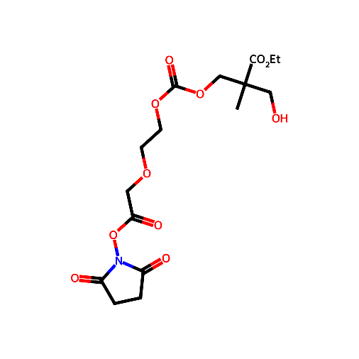 CCOC(=O)C(C)(CO)COC(=O)OCCOCC(=O)ON1C(=O)CCC1=O